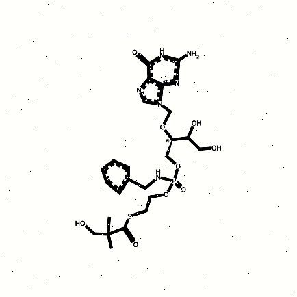 CC(C)(CO)C(=O)SCCOP(=O)(NCc1ccccc1)OC[C@@H](OCn1cnc2c(=O)[nH]c(N)nc21)C(O)CO